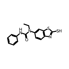 CCN(C(=O)Nc1ccccc1)c1ccc2nc(S)sc2c1